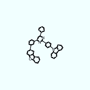 c1ccc(-c2cc(-c3cccc(-c4ccc5oc6ccccc6c5c4)c3)nc(-c3ccc(-n4c5ccccc5c5ccccc54)cc3)n2)cc1